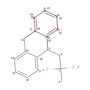 CC(F)(F)CC12c3ccccc3C(c3ccccc31)c1ccccc12